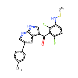 CCCSNc1ccc(F)c(C(=O)c2c[nH]c3ncc(-c4ccc(C)cc4)cc23)c1F